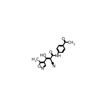 CC(=O)c1ccc(NC(=O)/C(C#N)=C(\O)c2cnoc2C)cc1